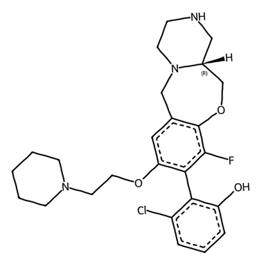 Oc1cccc(Cl)c1-c1c(OCCN2CCCCC2)cc2c(c1F)OC[C@H]1CNCCN1C2